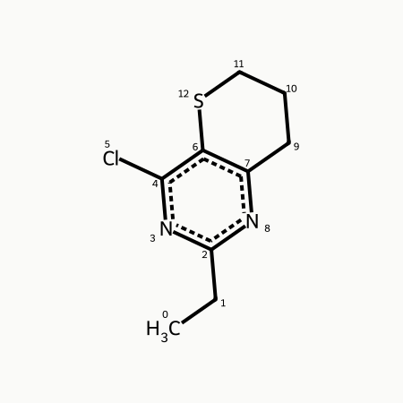 CCc1nc(Cl)c2c(n1)CCCS2